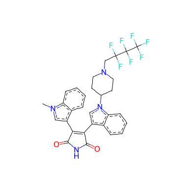 Cn1cc(C2=C(c3cn(C4CCN(CC(F)(F)C(F)(F)C(F)(F)F)CC4)c4ccccc34)C(=O)NC2=O)c2ccccc21